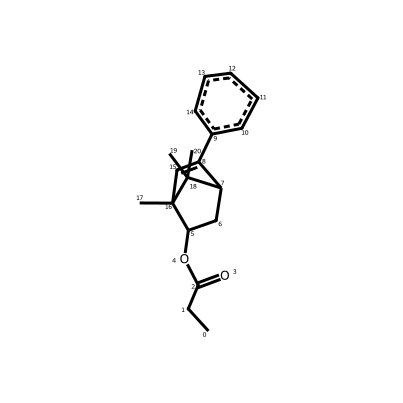 CCC(=O)OC1CC2C(c3ccccc3)=CC1(C)C2(C)C